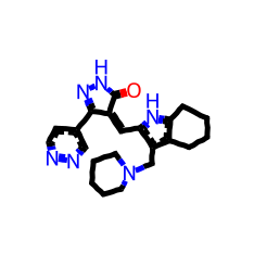 O=C1NN=C(c2ccnnc2)C1=Cc1[nH]c2c(c1CN1CCCCC1)CCCC2